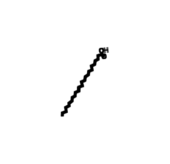 CCCCCCCCCCC=CCCCCCCCCCCCCC(=O)O